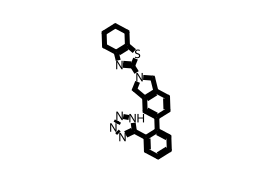 c1ccc(-c2nnn[nH]2)c(-c2ccc3c(c2)CN(c2nc4c(s2)CCCC4)C3)c1